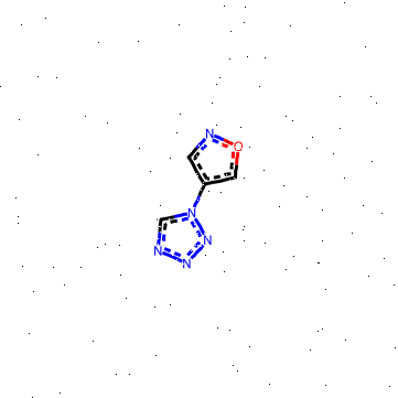 [c]1nnnn1-c1cnoc1